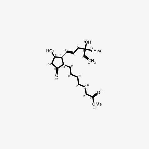 C=CC(O)(CC=C[C@H]1[C@H](O)CC(=O)[C@@H]1CCCCSCC(=O)OC)CCCCCC